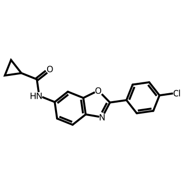 O=C(Nc1ccc2nc(-c3ccc(Cl)cc3)oc2c1)C1CC1